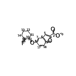 COC(=O)c1cc2cc(O[C@H]3CCCC[C@@H]3F)ccc2o1